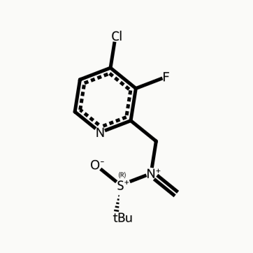 C=[N+](Cc1nccc(Cl)c1F)[S@@+]([O-])C(C)(C)C